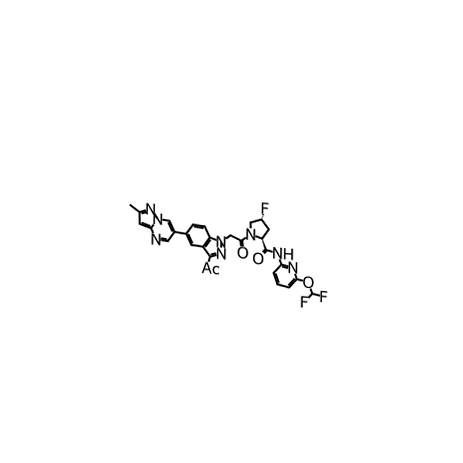 CC(=O)c1nn(CC(=O)N2C[C@H](F)C[C@H]2C(=O)Nc2cccc(OC(F)F)n2)c2ccc(-c3cnc4cc(C)nn4c3)cc12